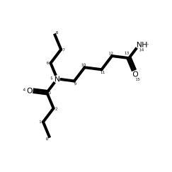 CCCC(=O)N(CCC)CCCCC([NH])=O